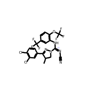 CC1CN(/C(=N\C#N)Nc2cc(C(F)(F)F)ccc2OC(F)(F)F)N=C1c1ccc(Cl)c(Cl)c1